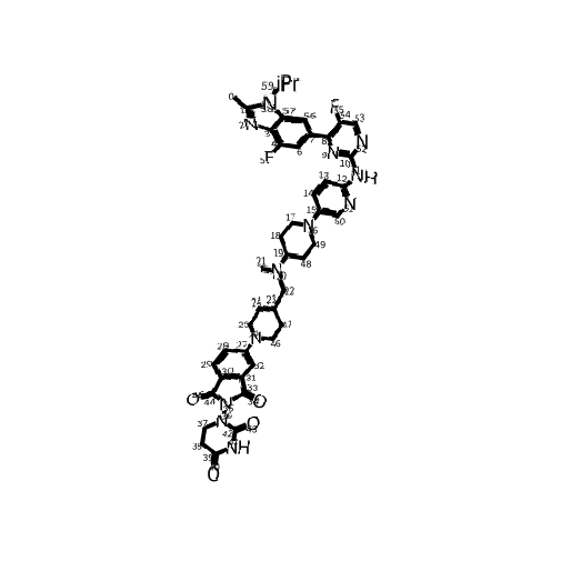 Cc1nc2c(F)cc(-c3nc(Nc4ccc(N5CCC(N(C)CC6CCN(c7ccc8c(c7)C(=O)N(N7CCC(=O)NC7=O)C8=O)CC6)CC5)cn4)ncc3F)cc2n1C(C)C